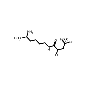 CCC(CC(CC)C(=O)NCCCC[C@H](N)C(=O)O)C(=O)O